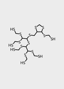 SCSC1SCSC1CSC(SC(SCS)C(SCS)SCS)C(SCS)SCS